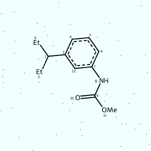 CCC(CC)c1cccc(NC(=O)OC)c1